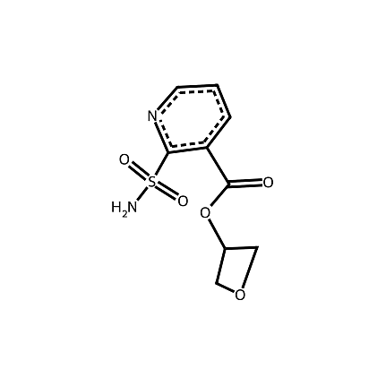 NS(=O)(=O)c1ncccc1C(=O)OC1COC1